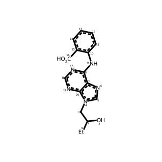 CCC(O)Cn1cnc2c(Nc3ccccc3C(=O)O)ncnc21